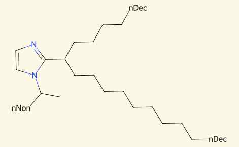 CCCCCCCCCCCCCCCCCCCC(CCCCCCCCCCCCCC)c1nccn1C(C)CCCCCCCCC